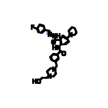 O=C(Nc1ccc(N2CCCCC2)cc1C(=O)N/N=C/c1ccc(F)cc1)c1cccc(CN2CCN(CCO)CC2)c1